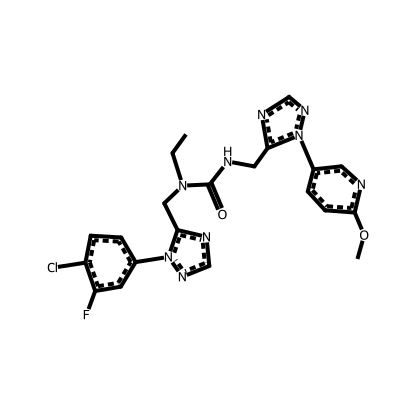 CCN(Cc1ncnn1-c1ccc(Cl)c(F)c1)C(=O)NCc1ncnn1-c1ccc(OC)nc1